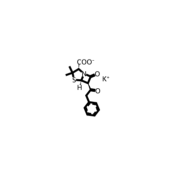 CC1(C)S[C@@H]2[C@H](C(=O)Cc3ccccc3)C(=O)N2[C@H]1C(=O)[O-].[K+]